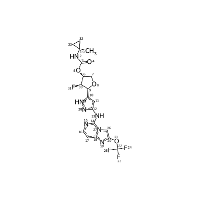 CC1(NC(=O)O[C@H]2CO[C@@H](c3cc(Nc4nccc5nc(OC(F)(F)F)cn45)n[nH]3)[C@H]2F)CC1